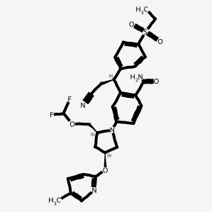 CCS(=O)(=O)c1ccc([C@H](CC#N)c2cc(N3C[C@@H](Oc4ccc(C)cn4)C[C@H]3COC(F)F)ccc2C(N)=O)cc1